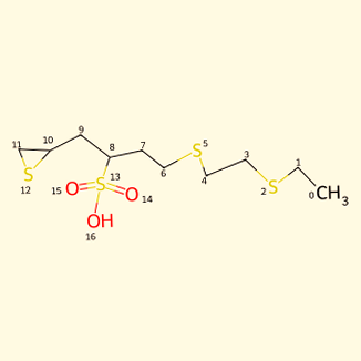 CCSCCSCCC(CC1CS1)S(=O)(=O)O